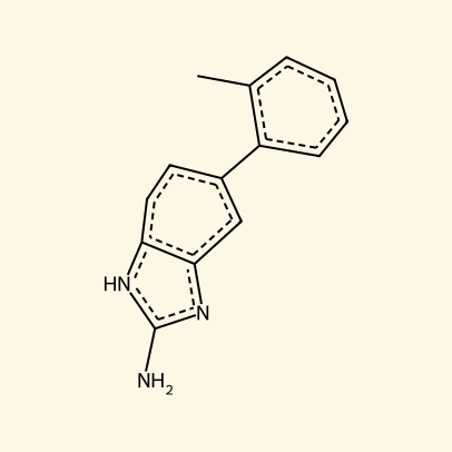 Cc1ccccc1-c1ccc2[nH]c(N)nc2c1